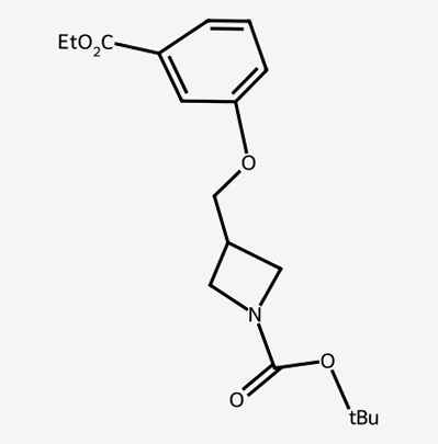 CCOC(=O)c1cccc(OCC2CN(C(=O)OC(C)(C)C)C2)c1